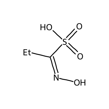 CCC(=NO)S(=O)(=O)O